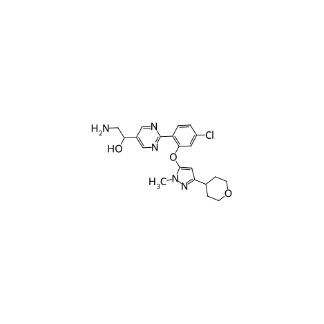 Cn1nc(C2CCOCC2)cc1Oc1cc(Cl)ccc1-c1ncc(C(O)CN)cn1